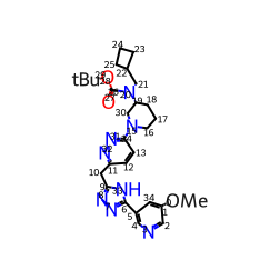 COc1cncc(-c2nnc(Cc3ccc(N4CCC[C@@H](N(CC5CCC5)C(=O)OC(C)(C)C)C4)nn3)[nH]2)c1